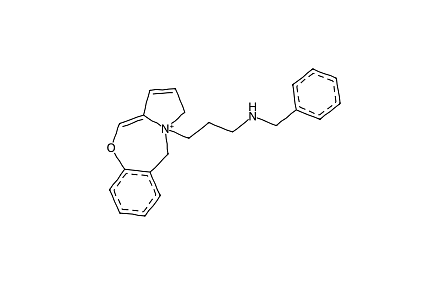 C1=CC2=COc3ccccc3C[N+]2(CCCNCc2ccccc2)C1